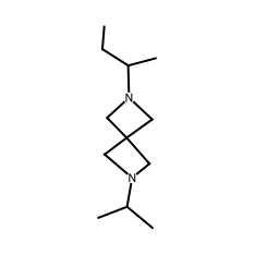 CCC(C)N1CC2(CN(C(C)C)C2)C1